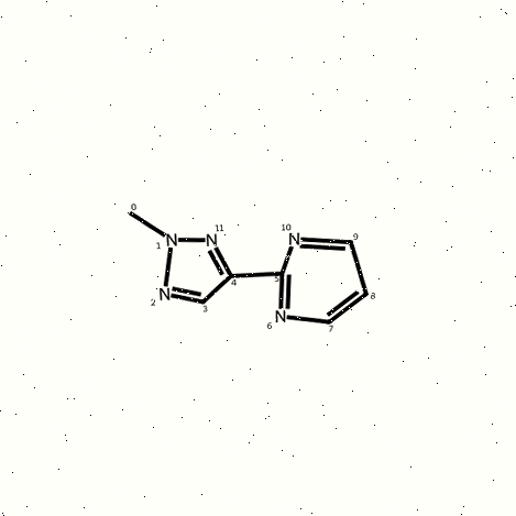 Cn1ncc(-c2ncccn2)n1